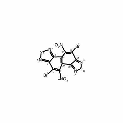 O=[N+]([O-])c1c(Br)c2nsnc2c2c([N+](=O)[O-])c(Br)c3nsnc3c12